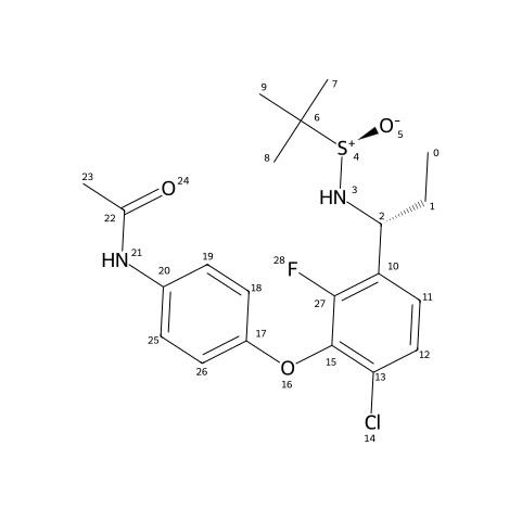 CC[C@@H](N[S@+]([O-])C(C)(C)C)c1ccc(Cl)c(Oc2ccc(NC(C)=O)cc2)c1F